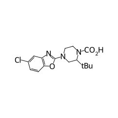 CC(C)(C)C1CN(c2nc3cc(Cl)ccc3o2)CCN1C(=O)O